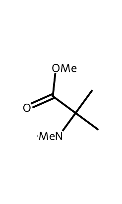 C[N]C(C)(C)C(=O)OC